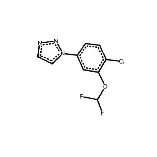 FC(F)Oc1cc(-n2ccnn2)ccc1Cl